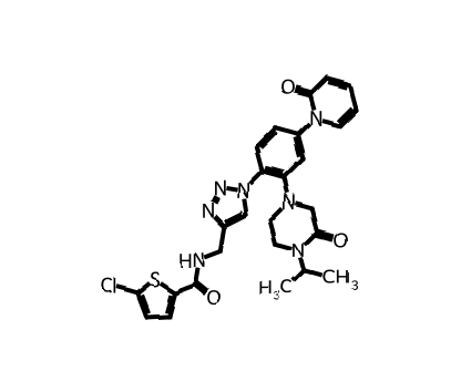 CC(C)N1CCN(c2cc(-n3ccccc3=O)ccc2-n2cc(CNC(=O)c3ccc(Cl)s3)nn2)CC1=O